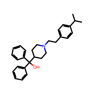 CC(C)c1ccc(CCN2CCC(C(O)(c3ccccc3)c3ccccc3)CC2)cc1